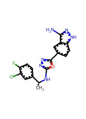 C[C@H](Nc1nnc(-c2ccc3[nH]nc(N)c3c2)o1)c1ccc(F)c(Cl)c1